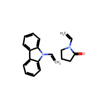 C=CN1CCCC1=O.C=Cn1c2ccccc2c2ccccc21